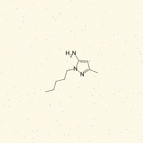 CCCCCn1nc(C)[c]c1N